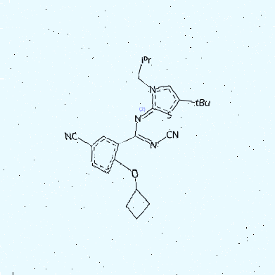 CC(C)Cn1cc(C(C)(C)C)s/c1=N\C(=NC#N)c1cc(C#N)ccc1OC1CCC1